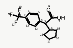 O=C(O)C(c1ccc(C(F)(F)F)cc1)C1CCCC1